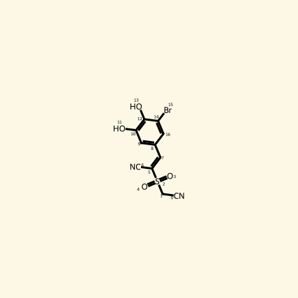 N#CCS(=O)(=O)/C(C#N)=C/c1cc(O)c(O)c(Br)c1